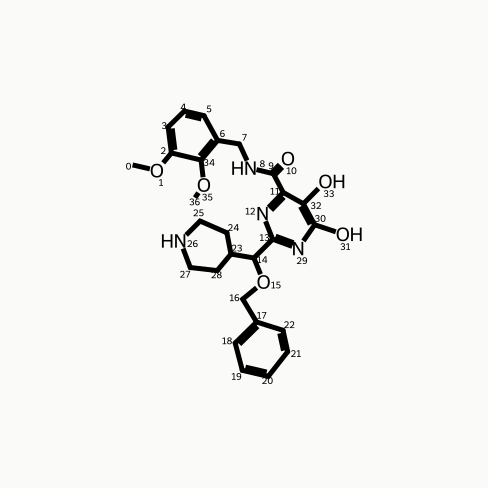 COc1cccc(CNC(=O)c2nc(C(OCc3ccccc3)C3CCNCC3)nc(O)c2O)c1OC